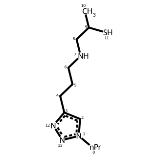 CCCn1cc(CCCNCC(C)S)nn1